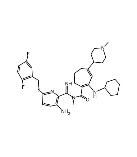 CN1CCC(C2=CC(NC3CCCCC3)=C(C(=O)N(C)C(=N)c3nc(SCc4cc(F)ccc4F)ccc3N)CCC2)CC1